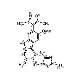 COc1cc2c(cc1-c1c(C)noc1C)[nH]c1nc(C)nc(Nc3nn(C)cc3C(C)C)c12